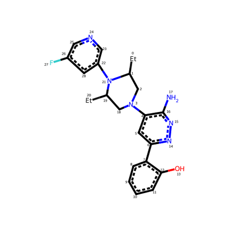 CCC1CN(c2cc(-c3ccccc3O)nnc2N)CC(CC)N1c1cncc(F)c1